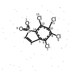 O=S1(=O)C=Cc2c(Cl)c(Cl)c(Cl)c(Cl)c21